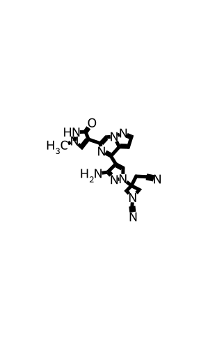 Cn1cc(-c2cn3nccc3c(-c3cn(C4(CC#N)CN(C#N)C4)nc3N)n2)c(=O)[nH]1